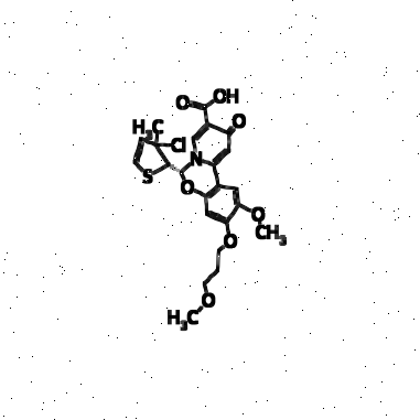 COCCCOc1cc2c(cc1OC)-c1cc(=O)c(C(=O)O)cn1[C@@H](C1SC=CC1(C)Cl)O2